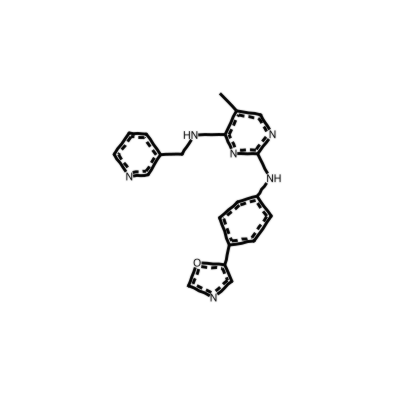 Cc1cnc(Nc2ccc(-c3cnco3)cc2)nc1NCc1cccnc1